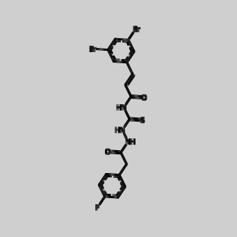 O=C(/C=C/c1cc(Br)cc(Br)c1)NC(=S)NNC(=O)Cc1ccc(F)cc1